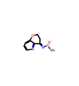 CC(C)(C)[S+]([O-])N=C1CCOc2cccnc21